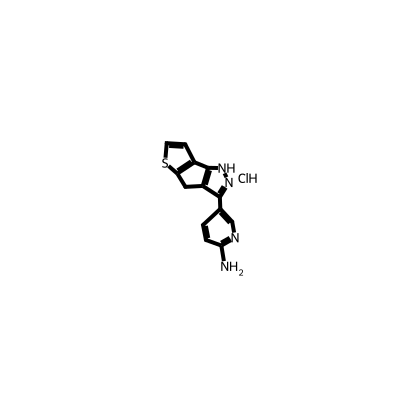 Cl.Nc1ccc(-c2n[nH]c3c2Cc2sccc2-3)cn1